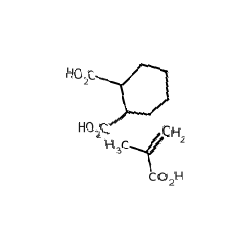 C=C(C)C(=O)O.O=C(O)C1CCCCC1C(=O)O